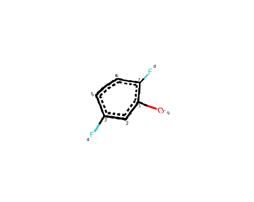 [O]c1cc(F)ccc1F